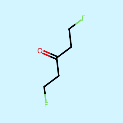 O=C(CCF)CCF